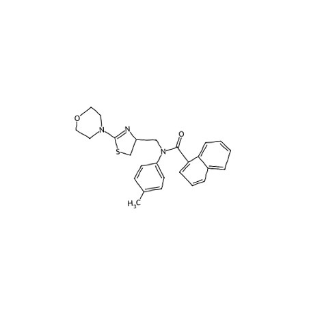 Cc1ccc(N(CC2CSC(N3CCOCC3)=N2)C(=O)c2cccc3ccccc23)cc1